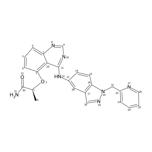 C[C@H](Oc1cccc2ncnc(Nc3ccc4c(cnn4Cc4ccccn4)c3)c12)C(N)=O